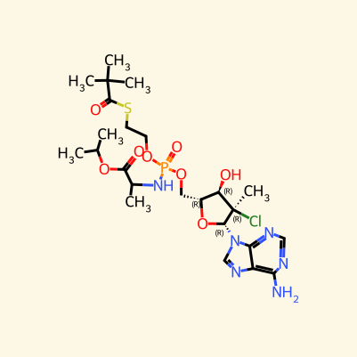 CC(C)OC(=O)C(C)NP(=O)(OCCSC(=O)C(C)(C)C)OC[C@H]1O[C@@H](n2cnc3c(N)ncnc32)[C@](C)(Cl)[C@@H]1O